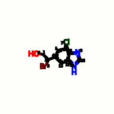 OCC(Br)c1cc(Cl)c2nc[nH]c2c1